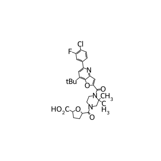 CC(C)(C)c1cc(-c2ccc(Cl)c(F)c2)nc2cc(C(=O)N3CCN(C(=O)C4CCC(C(=O)O)O4)CC3(C)C)oc12